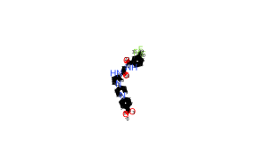 COC(=O)c1ccc(N2CCC(N3CC[C@@H](NC(=O)CNC(=O)c4cccc(C(F)(F)F)c4)C3)CC2)cc1